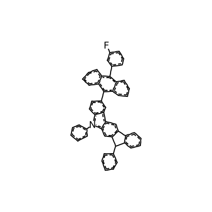 Fc1cccc(-c2c3ccccc3c(-c3ccc4c(c3)c3cc5c(cc3n4-c3ccccc3)C(c3ccccc3)c3ccccc3-5)c3ccccc23)c1